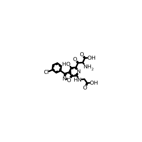 NC(C(=O)O)C(=O)c1nc(NCC(=O)O)c2onc(-c3cccc(Cl)c3)c2c1O